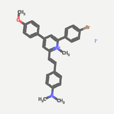 COc1ccc(-c2cc(/C=C/c3ccc(N(C)C)cc3)[n+](C)c(-c3ccc(Br)cc3)c2)cc1.[I-]